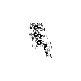 CNC1C(O)C2O[C@H](O[C@@H]3C(N)C[C@@H](N)C(O)C3O[C@@H]3O[C@H](CNCCN)[C@@H](O)[C@H]3O)C(N)C[C@@H]2O[C@@H]1O[C@H]1OC(CO)[C@@H](N)C(O)C1O